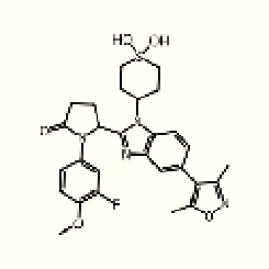 COc1ccc(N2C(=O)CCC2c2nc3cc(-c4c(C)noc4C)ccc3n2C2CCS(O)(O)CC2)cc1F